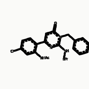 CCCNc1nc(-c2ccc(Cl)cc2NC(C)=O)cc(=O)n1Cc1ccccc1